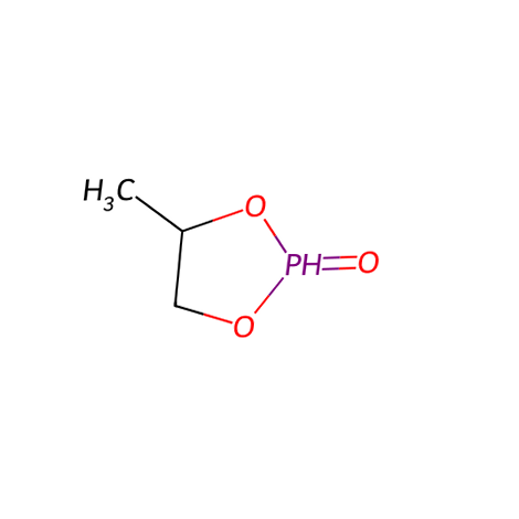 CC1CO[PH](=O)O1